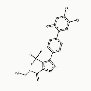 CCOC(=O)c1cnn(-c2ccc(-n3cc(Cl)c(Cl)cc3=O)cc2)c1C(F)(F)F